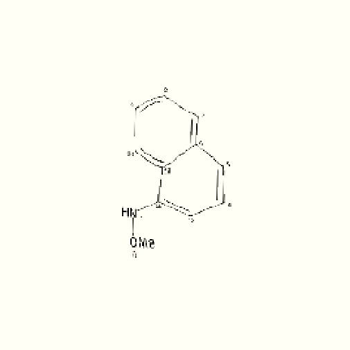 CONc1cccc2ccccc12